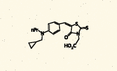 CCCN(CC1CC1)c1ccc(C=C2SC(=S)N(CC(=O)O)C2=O)cc1